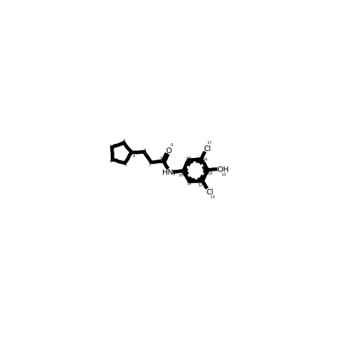 O=C(CCC1CCCC1)Nc1cc(Cl)c(O)c(Cl)c1